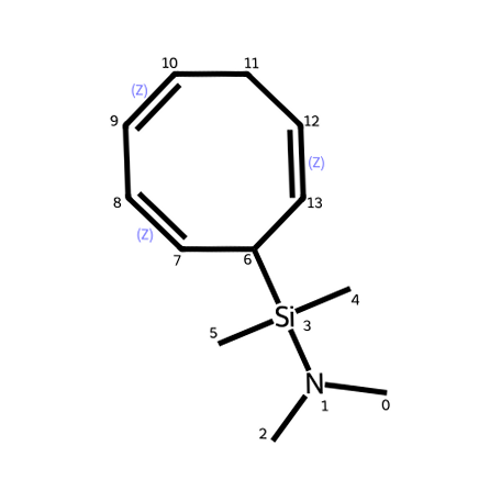 CN(C)[Si](C)(C)C1/C=C\C=C/C/C=C\1